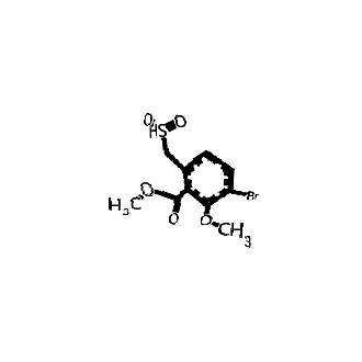 COC(=O)c1c(C[SH](=O)=O)ccc(Br)c1OC